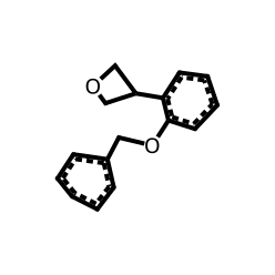 c1ccc(COc2ccccc2C2COC2)cc1